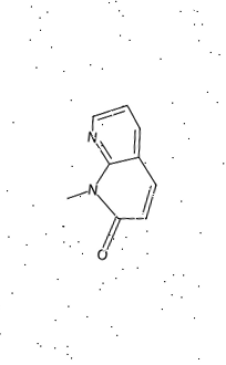 Cn1c(=O)ccc2cccnc21